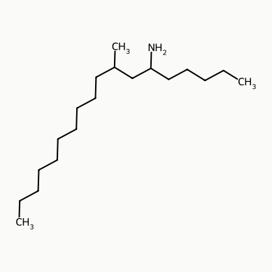 CCCCCCCCCCC(C)CC(N)CCCCC